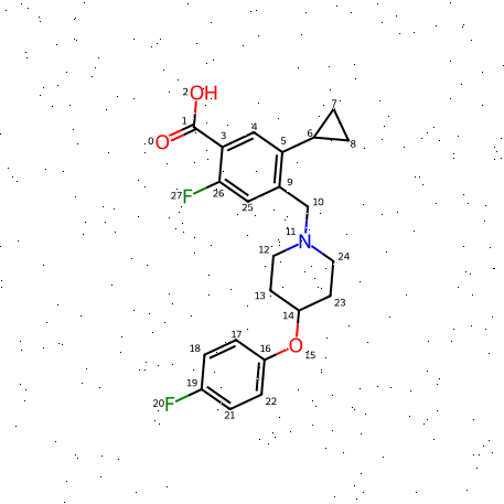 O=C(O)c1cc(C2CC2)c(CN2CCC(Oc3ccc(F)cc3)CC2)cc1F